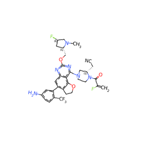 C=C(F)C(=O)N1CCN(c2nc(OC[C@@H]3C[C@@H](F)CN3C)nc3cc(-c4cc(N)ccc4C(F)(F)F)c4c(c23)OCC4)C[C@@H]1CC#N